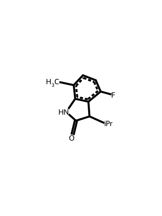 Cc1ccc(F)c2c1NC(=O)C2C(C)C